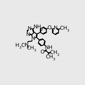 C=C(C)C(=O)Nc1ccc(-c2c(-c3ccc(Oc4cccc(C)n4)cc3)c3c(N)ncnc3n2CCN(C)C)cc1